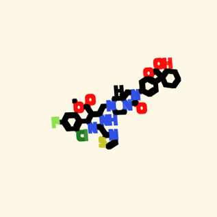 COC(=O)C1=C(CN2CCN3C(=O)N(c4ccc(C5(C(=O)O)CCCCC5)cc4)C[C@@H]3C2)NC(c2nccs2)=NC1c1ccc(F)cc1Cl